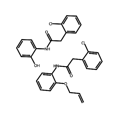 C=CCOc1ccccc1NC(=O)Cc1ccccc1Cl.O=C(Cc1ccccc1Cl)Nc1ccccc1O